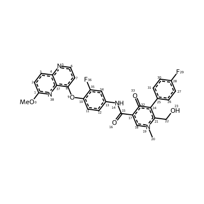 COc1ccc2nccc(Oc3ccc(NC(=O)c4cn(C)c(CO)c(-c5ccc(F)cc5)c4=O)cc3F)c2n1